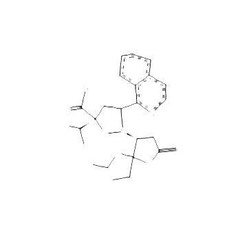 CCOC1(CF)OC(=O)C[C@@H]1N1O[C@@](C(N)=O)(C(C)C)CC1c1nccc2ccccc12